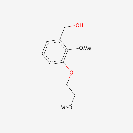 COCCOc1cccc(CO)c1OC